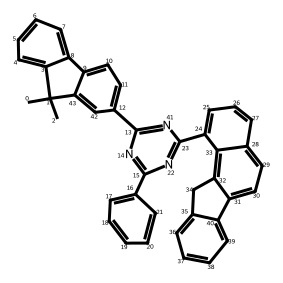 CC1(C)c2ccccc2-c2ccc(-c3nc(-c4ccccc4)nc(-c4cccc5ccc6c(c45)Cc4ccccc4-6)n3)cc21